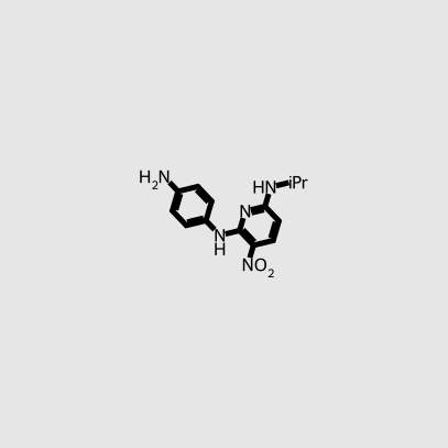 CC(C)Nc1ccc([N+](=O)[O-])c(Nc2ccc(N)cc2)n1